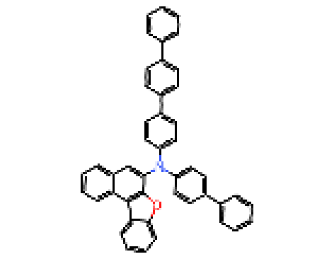 c1ccc(-c2ccc(-c3ccc(N(c4ccc(-c5ccccc5)cc4)c4cc5ccccc5c5c4oc4ccccc45)cc3)cc2)cc1